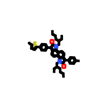 CCCCC(CC)CN1C(=O)C(c2ccc(C)cc2)=c2ccc3c4c(ccc3c21)=C(c1ccc(-c2ccc(C)s2)cc1)C(=O)N4CC(CC)CCCC